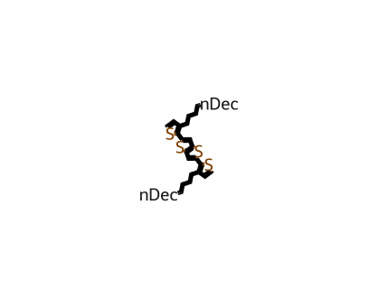 CCCCCCCCCCCCCCc1ccsc1-c1cc2sc(-c3sccc3CCCCCCCCCCCCCC)cc2s1